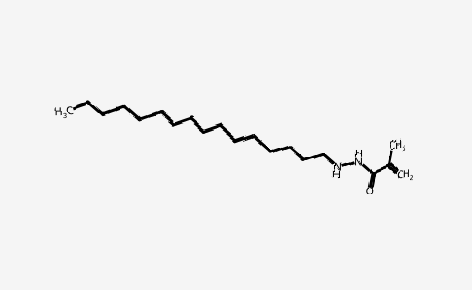 C=C(C)C(=O)NNCCCCCCCCCCCCCCCC